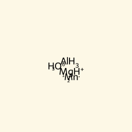 [AlH3].[MgH+].[Mn].[OH-]